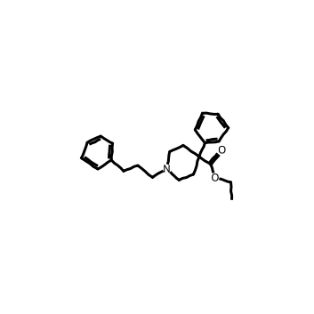 CCOC(=O)C1(c2ccccc2)CCN(CCCc2ccccc2)CC1